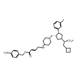 O=C(C=CCNC1CCN(C[C@H]2CN([C@H](CC3CCC3)C(=O)O)C[C@@H]2c2cccc(F)c2)CC1)OCc1ccc([N+](=O)[O-])cc1